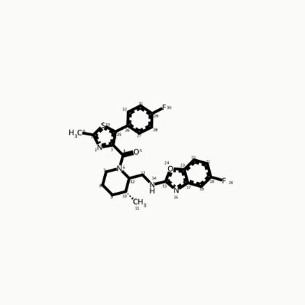 Cc1nc(C(=O)N2CCC[C@@H](C)C2CNc2nc3cc(F)ccc3o2)c(-c2ccc(F)cc2)s1